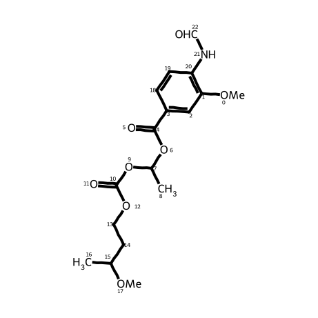 COc1cc(C(=O)OC(C)OC(=O)OCCC(C)OC)ccc1NC=O